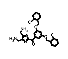 NCc1nc(C(=O)c2cc(OCc3ccccc3Cl)cc(OCc3ccccc3Cl)c2)sc1CN